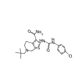 CC(C)(C)CN1CCc2c(sc(NC(=O)Nc3ccc(Cl)cc3)c2C(N)=O)C1